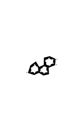 [c]1[c]c2ccc3c[c]ccc3c2cc1